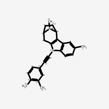 Cc1ccc2c(c1)c1c(n2C#Cc2ccc(C)c(C)c2)CC2CCC1N2C